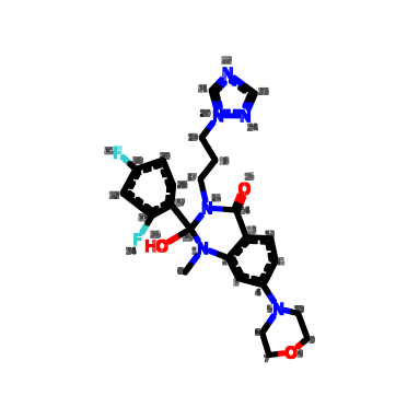 CN1c2cc(N3CCOCC3)ccc2C(=O)N(CCCn2cncn2)C1(O)c1ccc(F)cc1F